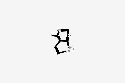 C/C=C\c1c(C)ncnc1N